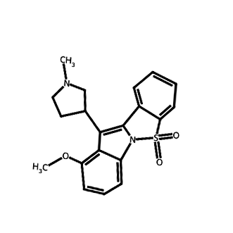 COc1cccc2c1c(C1CCN(C)C1)c1n2S(=O)(=O)c2ccccc2-1